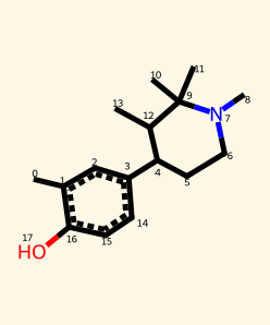 Cc1cc(C2CCN(C)C(C)(C)C2C)ccc1O